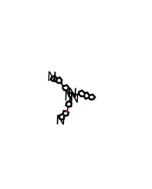 c1ccc2cc3cc(-c4nc(-c5ccc(-c6ccc7cnccc7c6)cc5)nc(-c5ccc(-c6ccc7cnccc7c6)cc5)n4)ccc3cc2c1